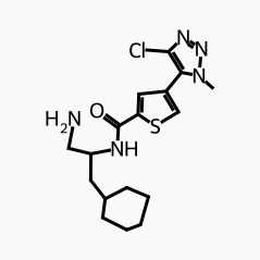 Cn1nnc(Cl)c1-c1csc(C(=O)NC(CN)CC2CCCCC2)c1